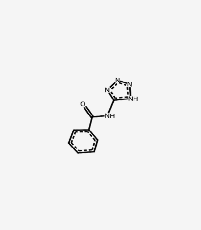 O=C(Nc1nnn[nH]1)c1ccccc1